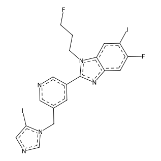 FCCCn1c(-c2cncc(Cn3cncc3I)c2)nc2cc(F)c(I)cc21